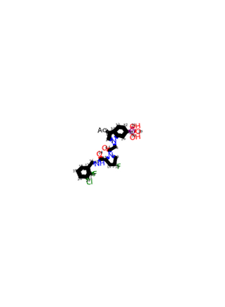 CC(=O)c1cn(CC(=O)N2C[C@H](F)CC2C(=O)NCc2cccc(Cl)c2F)c2cc(P(=O)(O)O)ccc12